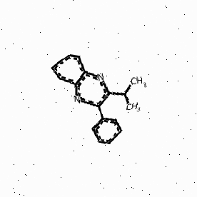 CC(C)c1nc2ccccc2nc1-c1ccccc1